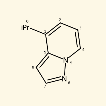 CC(C)c1cccn2nccc12